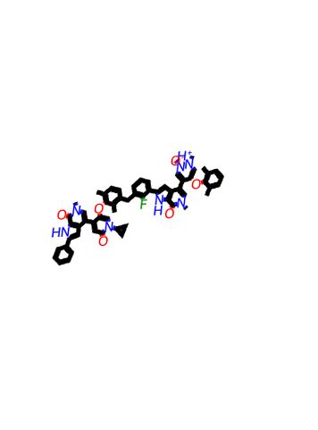 Cc1cccc(C)c1OC1=CN(C)[NH+]([O-])C=C1c1cn(C)c(=O)c2[nH]c(-c3cccc(Cc4ccc(C)c(Oc5cn(C6CC6)c(=O)cc5-c5cn(C)c(=O)c6[nH]c(-c7ccccc7)cc56)c4C)c3F)cc12